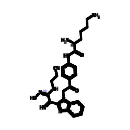 N#CCCN/C(=N/O)C(=N)c1nc2ccccc2n1CC(=O)c1ccc(NC(=O)[C@@H](N)CCCCN)cc1